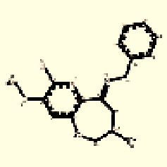 CCCCOc1cc2c(nc1Cl)C(=NCc1ccccc1)CC(C(C)C)CO2